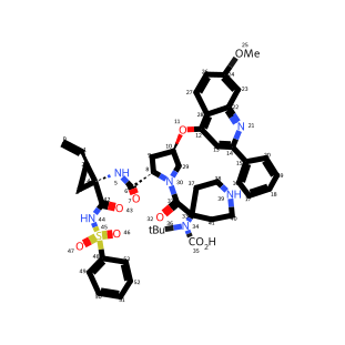 C=C[C@@H]1C[C@]1(NC(=O)[C@@H]1C[C@@H](Oc2cc(-c3ccccc3)nc3cc(OC)ccc23)CN1C(=O)C1(N(C(=O)O)C(C)(C)C)CCNCC1)C(=O)NS(=O)(=O)c1ccccc1